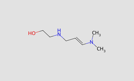 CN(C)C=CCNCCO